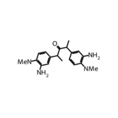 CNc1ccc(C(C)C(=O)C(C)c2ccc(NC)c(N)c2)cc1N